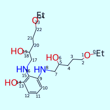 CCOCCCC(O)CNc1cccc(O)c1NCC(O)CCCOCC